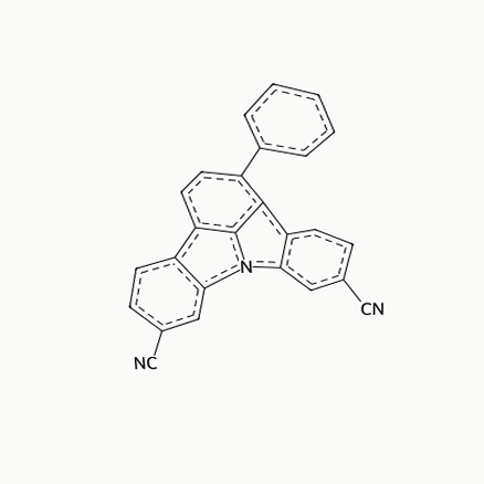 N#Cc1ccc2c3ccc(-c4ccccc4)c4c5ccc(C#N)cc5n(c2c1)c34